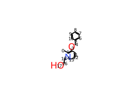 CC1=C(OCc2ccccc2)C=CCN1CCO